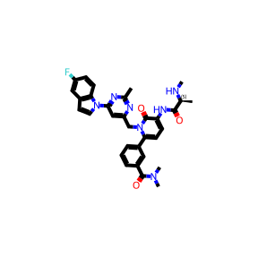 CN[C@@H](C)C(=O)Nc1ccc(-c2cccc(C(=O)N(C)C)c2)n(Cc2cc(-n3ccc4cc(F)ccc43)nc(C)n2)c1=O